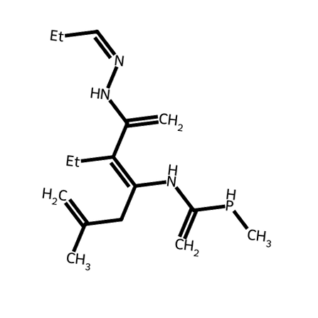 C=C(C)C/C(NC(=C)PC)=C(\CC)C(=C)N/N=C\CC